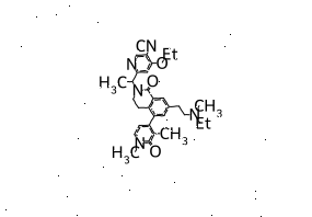 CCOc1cc(C(C)N2CCc3c(cc(CCN(C)CC)cc3-c3ccn(C)c(=O)c3C)C2=O)ncc1C#N